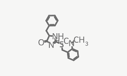 CN(C)c1ccccc1CSC1=NC(=O)C(Cc2ccccc2)N1